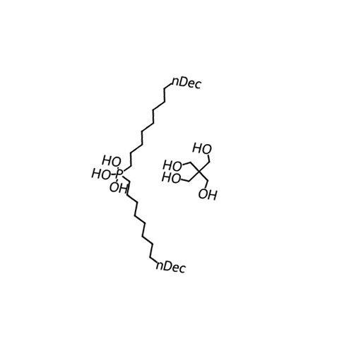 CCCCCCCCCCCCCCCCCCP(O)(O)(O)CCCCCCCCCCCCCCCCCC.OCC(CO)(CO)CO